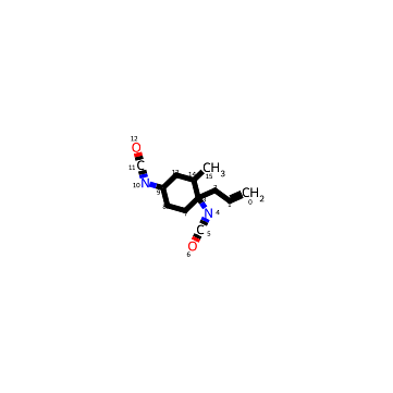 C=CCC1(N=C=O)CCC(N=C=O)CC1C